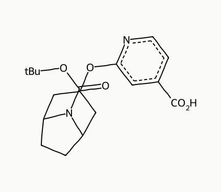 CC(C)(C)OC(=O)N1C2CCC1CC(Oc1cc(C(=O)O)ccn1)C2